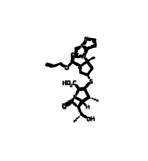 C=CCOC(=O)N1C[C@@H](SC2=C(C(=O)O)N3C(=O)[C@H]([C@@H](C)O)[C@H]3[C@H]2C)C[C@@]1(C)n1ccn2nccc12